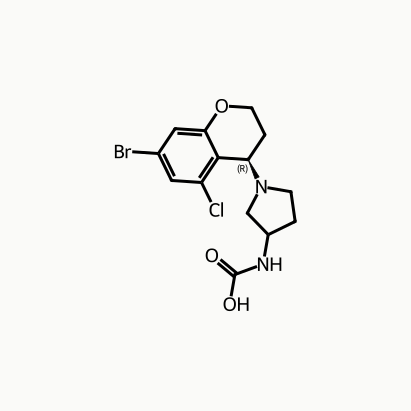 O=C(O)NC1CCN([C@@H]2CCOc3cc(Br)cc(Cl)c32)C1